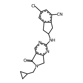 N#Cc1cc(Cl)cc2c1CC(Nc1ncc3c(n1)CN(CC1CC1)C3=O)C2